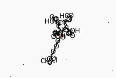 O=C(CCOCCOCCOCCC(=O)Oc1c(Cl)cccc1Cl)NCC1CN(Cc2cccc(=O)n2O)CCN(Cc2cccc(=O)n2O)CCN(Cc2cccc(=O)n2O)CCN1Cc1cccc(=O)n1O